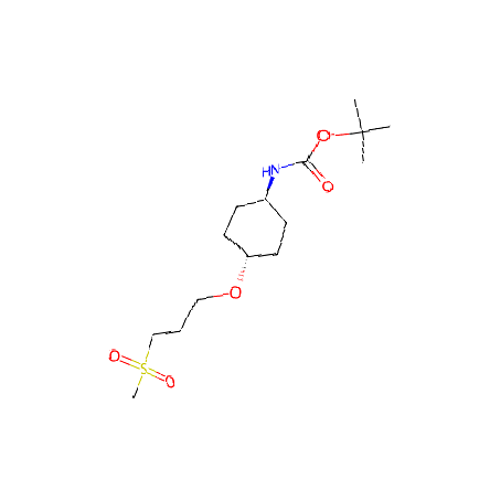 CC(C)(C)OC(=O)N[C@H]1CC[C@H](OCCCS(C)(=O)=O)CC1